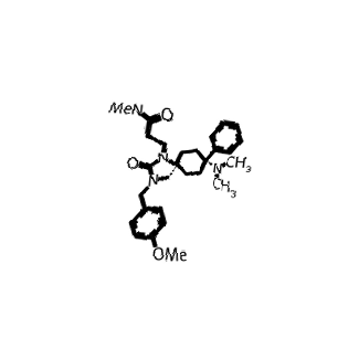 CNC(=O)CCN1C(=O)N(Cc2ccc(OC)cc2)C[C@]12CC[C@@](c1ccccc1)(N(C)C)CC2